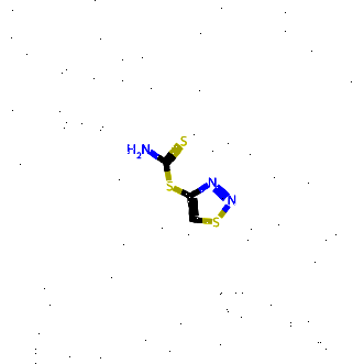 NC(=S)Sc1csnn1